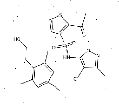 CC(=O)c1sccc1S(=O)(=O)Nc1onc(C)c1Cl.Cc1cc(C)c(CCO)c(C)c1